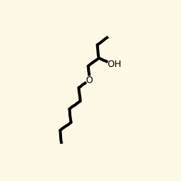 CCCCCCOCC(O)CC